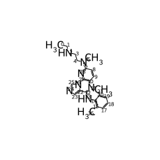 CCNCCN(C)c1ccc2nc(Nc3c(C)cccc3C)c3cncn3c2n1